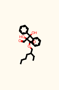 CCCCC(CC)COC(=O)C(O)(C=O)C(O)(c1ccccc1)c1ccccc1